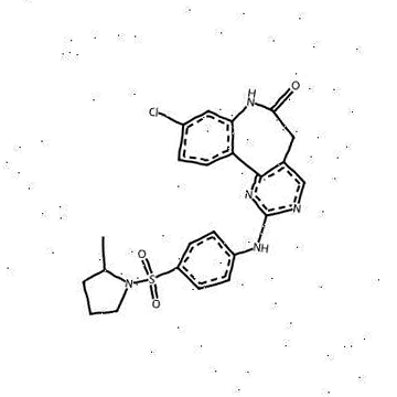 CC1CCCN1S(=O)(=O)c1ccc(Nc2ncc3c(n2)-c2ccc(Cl)cc2NC(=O)C3)cc1